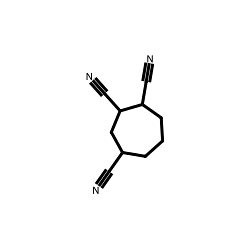 N#CC1CCCC(C#N)C(C#N)C1